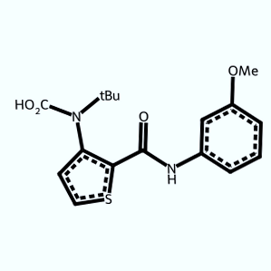 COc1cccc(NC(=O)c2sccc2N(C(=O)O)C(C)(C)C)c1